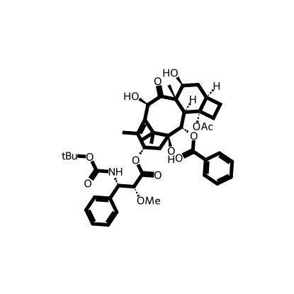 CO[C@@H](C(=O)O[C@H]1C[C@@]2(O)[C@@H](OC(=O)c3ccccc3)[C@@H]3[C@]4(OC(C)=O)CC[C@@H]4C[C@H](O)[C@@]3(C)C(=O)[C@H](O)C(=C1C)C2(C)C)[C@@H](NC(=O)OC(C)(C)C)c1ccccc1